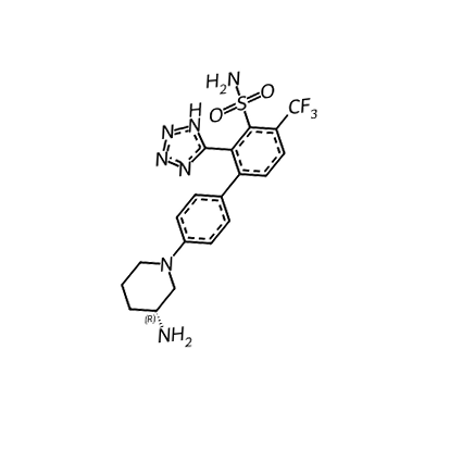 N[C@@H]1CCCN(c2ccc(-c3ccc(C(F)(F)F)c(S(N)(=O)=O)c3-c3nnn[nH]3)cc2)C1